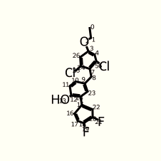 CCOc1cc(Cl)c(Cc2ccc(O)c(-c3ccc(F)c(F)c3)c2)c(Cl)c1